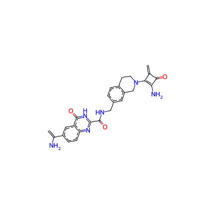 C=C1C(=O)C(N)=C1N1CCc2ccc(CNC(=O)c3nc4ccc(C(=C)N)cc4c(=O)[nH]3)cc2C1